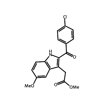 COC(=O)Cc1c(C(=O)c2ccc(Cl)cc2)[nH]c2ccc(OC)cc12